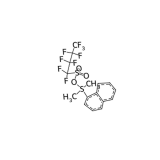 CS(C)(OS(=O)(=O)C(F)(F)C(F)(F)C(F)(F)C(F)(F)F)c1cccc2ccccc12